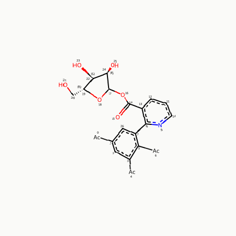 CC(=O)c1cc(C(C)=O)c(C(C)=O)c(-c2ncccc2C(=O)OC2O[C@H](CO)[C@@H](O)[C@H]2O)c1